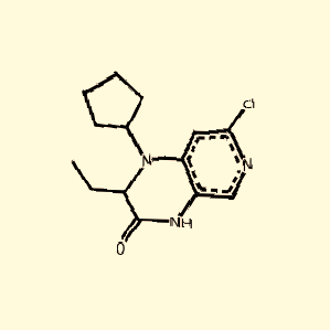 CCC1C(=O)Nc2cnc(Cl)cc2N1C1CCCC1